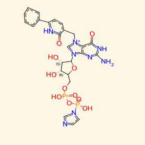 Nc1nc2c(c(=O)[nH]1)[n+](Cc1ccc(-c3ccccc3)[nH]c1=O)cn2C1OC(COP(=O)(O)OP(=O)(O)n2ccnc2)[C@H](O)[C@@H]1O